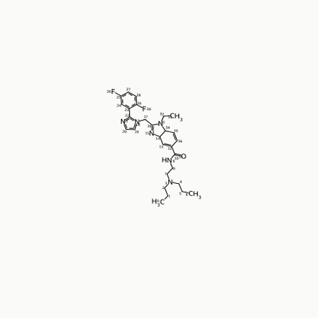 CCCN(CCC)CCNC(=O)C1=CC2N=C(Cn3ccnc3-c3cc(F)ccc3F)N(CC)C2C=C1